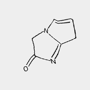 O=C1CN2C=CCC2=N1